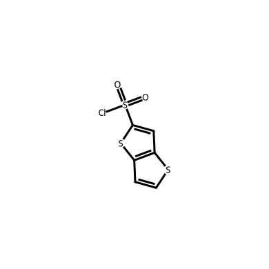 O=S(=O)(Cl)c1cc2sccc2s1